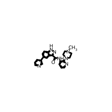 CN1CCN(c2ncccc2NC(=O)c2n[nH]c3ccc(-c4cccnc4)cc23)CC1